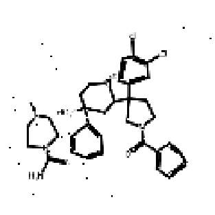 CCN1CCC(C(=O)O)(c2ccccc2)CC1C1(c2ccc(Cl)c(Cl)c2)CCN(C(=O)c2ccccc2)C1.CN1CCN(C(N)=O)CC1